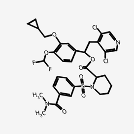 CN(C)C(=O)c1cccc(S(=O)(=O)N2CCCCC2C(=O)OC(Cc2c(Cl)cncc2Cl)c2ccc(OC(F)F)c(OCC3CC3)c2)c1